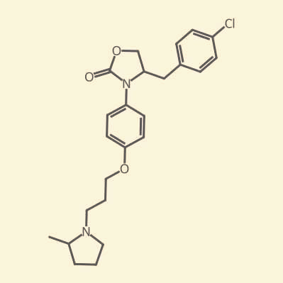 CC1CCCN1CCCOc1ccc(N2C(=O)OCC2Cc2ccc(Cl)cc2)cc1